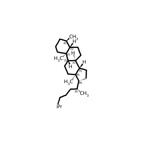 CC(C)CCC[C@@H](C)[C@H]1CC[C@H]2[C@@H]3CC[C@H]4[C@H](C)CCC[C@]4(C)[C@H]3CC[C@]12C